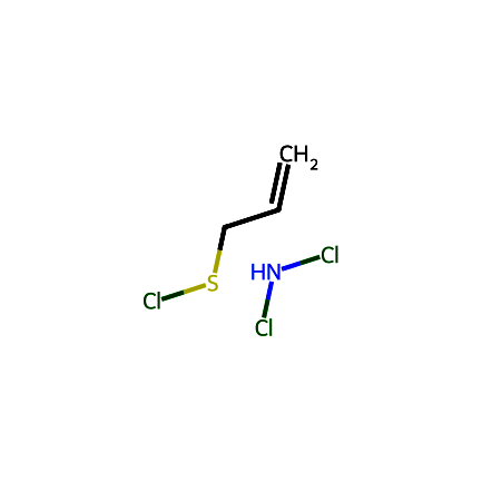 C=CCSCl.ClNCl